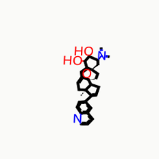 CN(C)[C@H]1C[C@@]23CC[C@@]4(O2)C(=CC[C@]2(C)C(c5ccc6ncccc6c5)=CCC24)C=C3[C@@H](O)[C@@H]1O